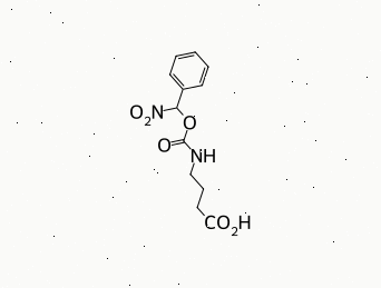 O=C(O)CCCNC(=O)OC(c1ccccc1)[N+](=O)[O-]